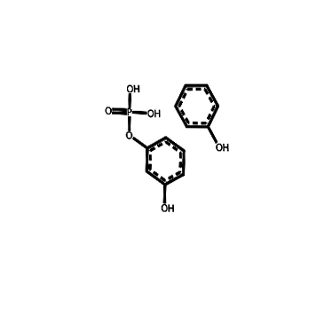 O=P(O)(O)Oc1cccc(O)c1.Oc1ccccc1